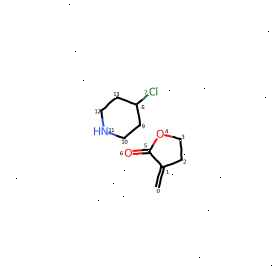 C=C1CCOC1=O.ClC1CCNCC1